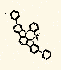 O=S1(=O)c2ccccc2-n2c3cc(-c4ccccc4)ccc3c3ccc4c5ccc(C6=CCCC=C6)cc5n1c4c32